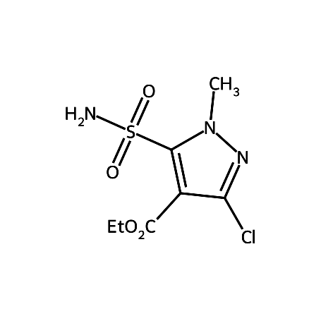 CCOC(=O)c1c(Cl)nn(C)c1S(N)(=O)=O